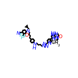 CCN1C(=O)CNc2ncc(-c3ccc(-c4ncn(CCCCNc5ccc(CCC(=O)CN(CC6CC6)c6ccc(C#N)c(C(F)(F)F)c6)cc5)n4)nc3C)nc21